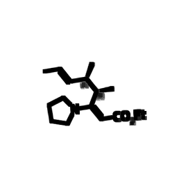 CC=C[C@@H](C)[C@@H](C)C(=CC(=O)OCC)N1CCCC1